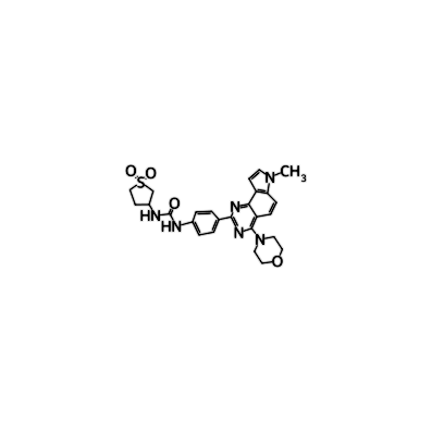 Cn1ccc2c3nc(-c4ccc(NC(=O)NC5CCS(=O)(=O)C5)cc4)nc(N4CCOCC4)c3ccc21